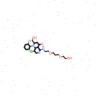 O=c1cc(CO)n(-c2c(Cl)cccc2Cl)c2c(Cl)cnc(NCCOCCCOCCO)c12